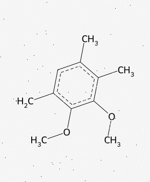 [CH2]c1cc(C)c(C)c(OC)c1OC